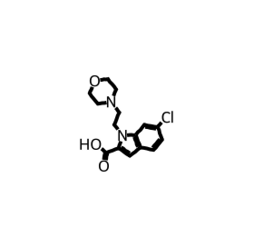 O=C(O)c1cc2ccc(Cl)cc2n1CCN1CCOCC1